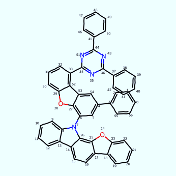 c1ccc(-c2cc(-n3c4ccccc4c4ccc5c6ccccc6oc5c43)c3oc4cccc(-c5nc(-c6ccccc6)nc(-c6ccccc6)n5)c4c3c2)cc1